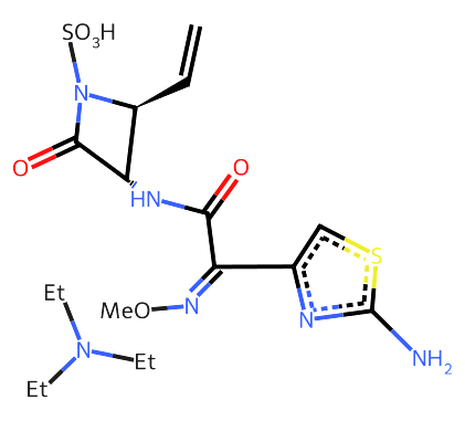 C=C[C@H]1[C@H](NC(=O)C(=NOC)c2csc(N)n2)C(=O)N1S(=O)(=O)O.CCN(CC)CC